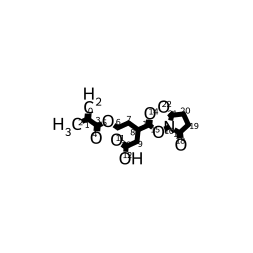 C=C(C)C(=O)OCCC(CC(=O)O)C(=O)ON1C(=O)CCC1=O